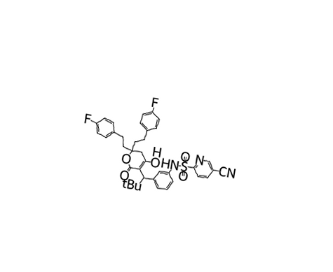 CC(C)(C)C(C1=C(O)CC(CCc2ccc(F)cc2)(CCc2ccc(F)cc2)OC1=O)c1cccc(NS(=O)(=O)c2ccc(C#N)cn2)c1